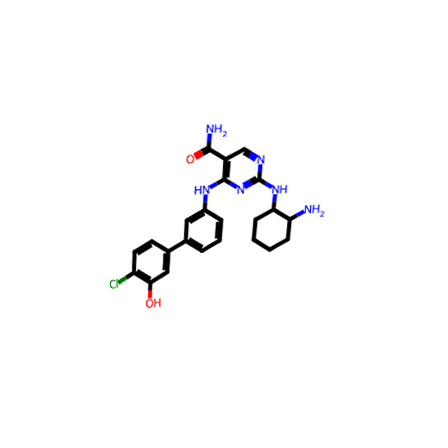 NC(=O)c1cnc(NC2CCCCC2N)nc1Nc1cccc(-c2ccc(Cl)c(O)c2)c1